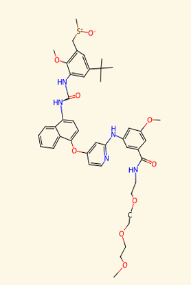 COCCOCCOCCNC(=O)c1cc(Nc2cc(Oc3ccc(NC(=O)Nc4cc(C(C)(C)C)cc(C[S+](C)[O-])c4OC)c4ccccc34)ccn2)cc(OC)c1